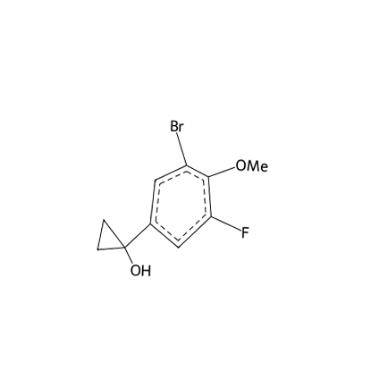 COc1c(F)cc(C2(O)CC2)cc1Br